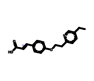 CCc1ccc(CCOc2ccc(/C=C/C(=O)O)cc2)nc1